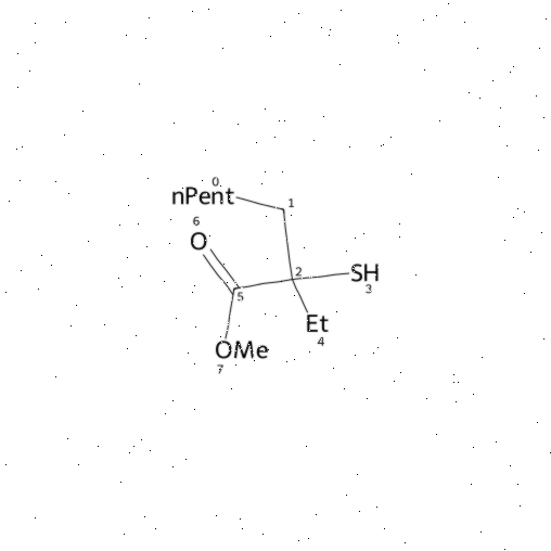 CCCCCCC(S)(CC)C(=O)OC